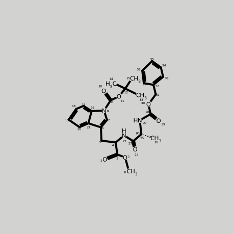 COC(=O)C(Cc1cn(C(=O)OC(C)(C)C)c2ccccc12)NC(=O)[C@@H](C)NC(=O)OCc1ccccc1